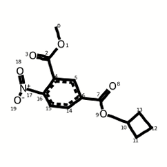 COC(=O)c1cc(C(=O)OC2CCC2)ccc1[N+](=O)[O-]